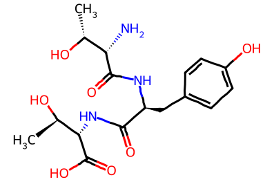 C[C@@H](O)[C@H](N)C(=O)N[C@@H](Cc1ccc(O)cc1)C(=O)N[C@H](C(=O)O)[C@@H](C)O